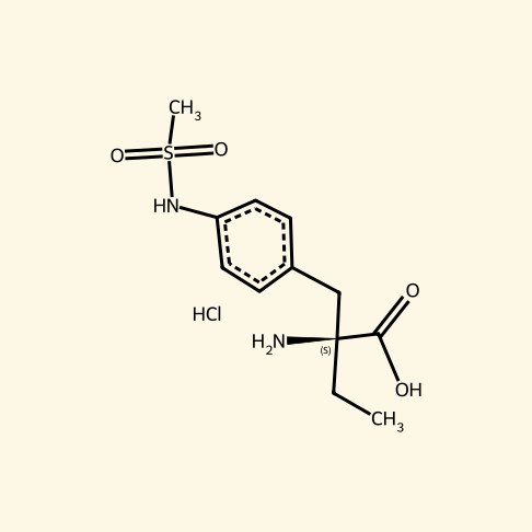 CC[C@](N)(Cc1ccc(NS(C)(=O)=O)cc1)C(=O)O.Cl